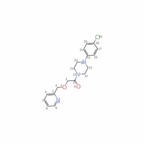 O=C(COCc1ccccn1)N1CCN(c2ccc(Cl)cc2)CC1